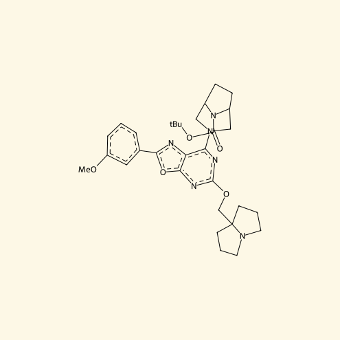 COc1cccc(-c2nc3c(N4CC5CCC(C4)N5C(=O)OC(C)(C)C)nc(OCC45CCCN4CCC5)nc3o2)c1